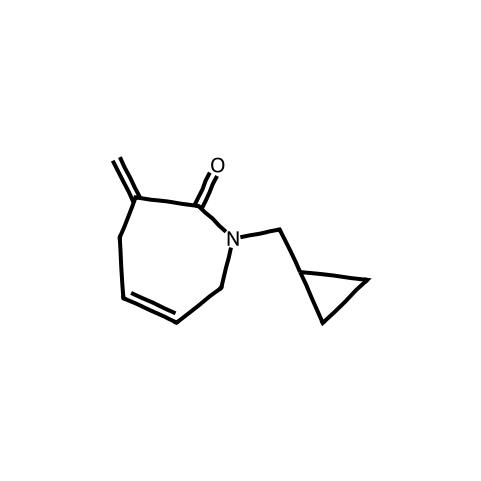 C=C1CC=CCN(CC2CC2)C1=O